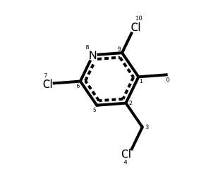 Cc1c(CCl)cc(Cl)nc1Cl